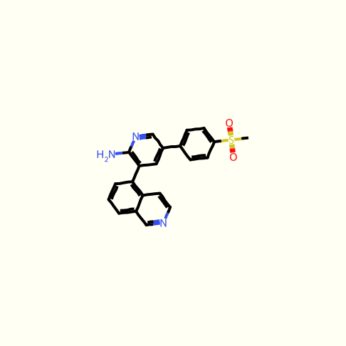 CS(=O)(=O)c1ccc(-c2cnc(N)c(-c3cccc4cnccc34)c2)cc1